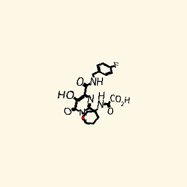 O=C(O)C(=O)NC12CCC(CC1)Cn1c2nc(C(=O)NCc2ccc(F)cc2)c(O)c1=O